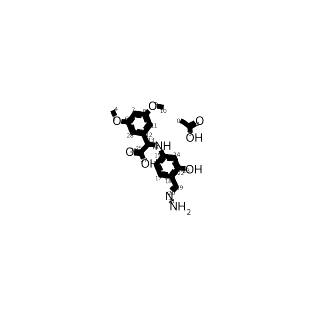 CC(=O)O.COc1cc(OC)cc(C(Nc2ccc(C=NN)c(O)c2)C(=O)O)c1